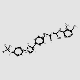 Cc1cccc(N/C(S)=N/C(=O)Nc2ccc(-c3ncn(-c4ccc(OC(F)(F)F)cc4)n3)cc2)c1C